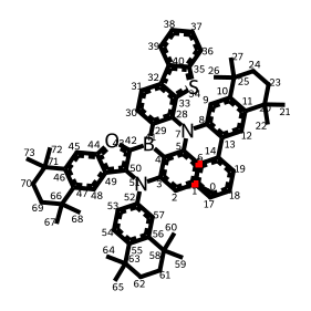 Cc1cc2c3c(c1)N(c1cc4c(cc1-c1ccccc1)C(C)(C)CCC4(C)C)c1c(ccc4c1sc1ccccc14)B3c1oc3cc4c(cc3c1N2c1ccc2c(c1)C(C)(C)CCC2(C)C)C(C)(C)CCC4(C)C